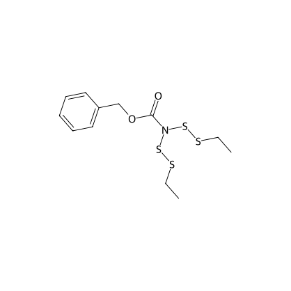 CCSSN(SSCC)C(=O)OCc1ccccc1